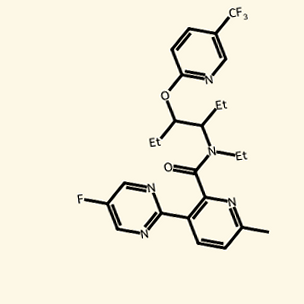 CCC(Oc1ccc(C(F)(F)F)cn1)C(CC)N(CC)C(=O)c1nc(C)ccc1-c1ncc(F)cn1